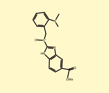 COC(=O)c1ccc2[nH]c([S+]([O-])Cc3ccccc3N(C)C)nc2c1